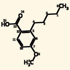 CCCCCc1cc(OC)ccc1C(=O)O